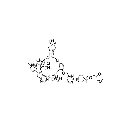 Cc1c(Cl)c2c(Cl)c(C)c1-c1c(-c3ccc(F)cc3)sc3ncnc(c13)O[C@@H](C(=O)O)Cc1cc(ccc1OCc1ccnc(N3CCC(F)(COC[C@@H]4COCCO4)CC3)n1)OC[C@@H](CN1CCN(C)CC1)O2